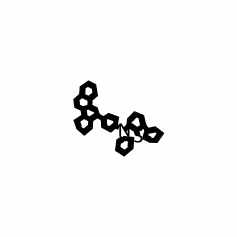 c1ccc(N(c2ccc(-c3cc4c5ccccc5ccc4c4ccccc34)cc2)c2cccc3c2sc2ccccc23)cc1